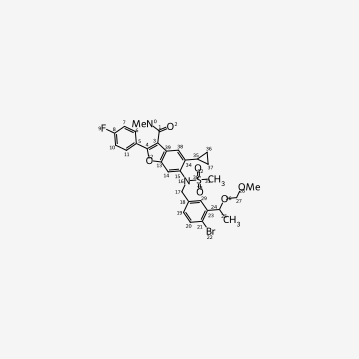 CNC(=O)c1c(-c2ccc(F)cc2)oc2cc(N(Cc3ccc(Br)c(C(C)OCOC)c3)S(C)(=O)=O)c(C3CC3)cc12